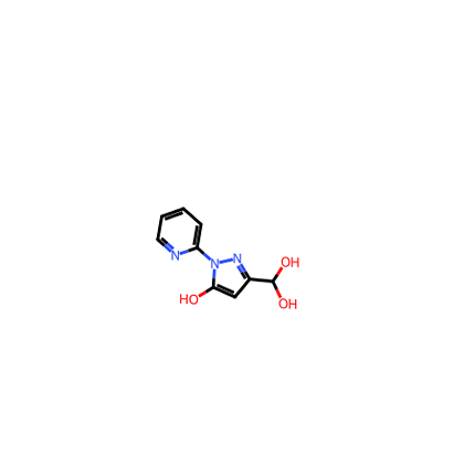 Oc1cc(C(O)O)nn1-c1ccccn1